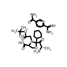 C[C@H](N)C(=O)C1(C2CCCCC2)OCC(C(=O)O)N1CC(=O)OC(C)(C)C.N=C(N)c1ccc(C(N)=O)cn1